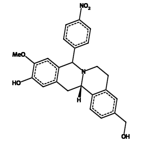 COc1cc2c(cc1O)C[C@H]1c3ccc(CO)cc3CCN1C2c1ccc([N+](=O)[O-])cc1